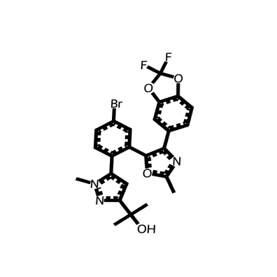 Cc1nc(-c2ccc3c(c2)OC(F)(F)O3)c(-c2cc(Br)ccc2-c2cc(C(C)(C)O)nn2C)o1